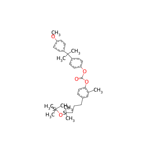 COc1ccc(C(C)(C)c2ccc(OC(=O)Oc3ccc(CCC[Si](C)(C)O[Si](C)(C)C)cc3C)cc2)cc1